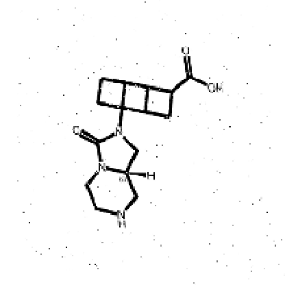 O=C1N2CCNC[C@H]2CN1C12C3C4C1C1C2C3C41C(=O)O